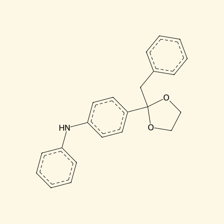 c1ccc(CC2(c3ccc(Nc4ccccc4)cc3)OCCO2)cc1